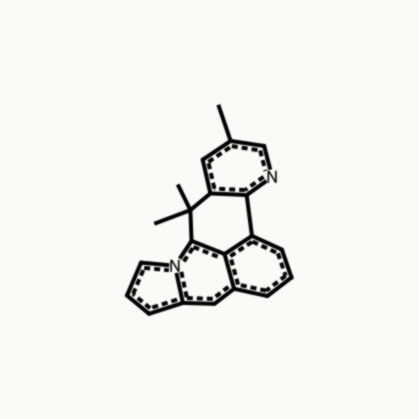 Cc1cnc2c(c1)C(C)(C)c1c3c-2cccc3cc2cccn12